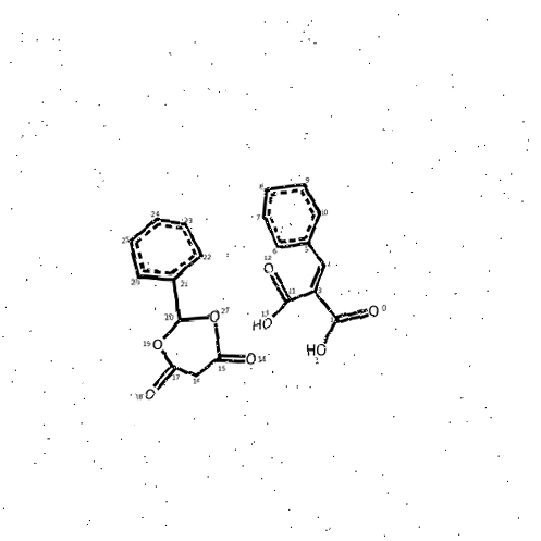 O=C(O)C(=Cc1ccccc1)C(=O)O.O=C1CC(=O)OC(c2ccccc2)O1